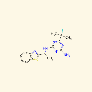 CC(Nc1nc(N)nc(C(C)(C)F)n1)c1nc2ccccc2s1